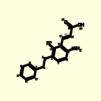 Nc1ccc(SCc2ccccc2)c(F)c1/C=C/C(=O)O